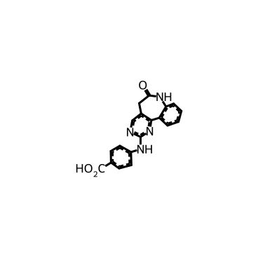 O=C1Cc2cnc(Nc3ccc(C(=O)O)cc3)nc2-c2ccccc2N1